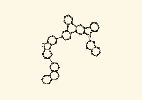 c1ccc2cc(-n3c4ccccc4c4cc5c6ccccc6c6cc(-c7ccc8oc9ccc(-c%10ccc%11ccc%12ccccc%12c%11c%10)cc9c8c7)ccc6c5cc43)ccc2c1